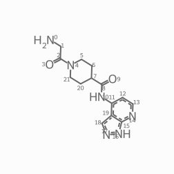 NCC(=O)N1CCC(C(=O)Nc2ccnc3[nH]ncc23)CC1